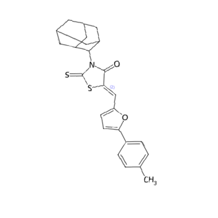 Cc1ccc(-c2ccc(/C=C3\SC(=S)N(C4C5CC6CC(C5)CC4C6)C3=O)o2)cc1